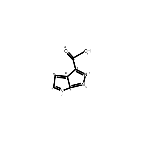 O=C(O)C1=NN=C2N=CC=C21